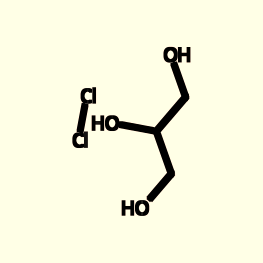 ClCl.OCC(O)CO